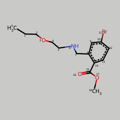 CCCOCCNCc1cc(Br)ccc1C(=O)OC